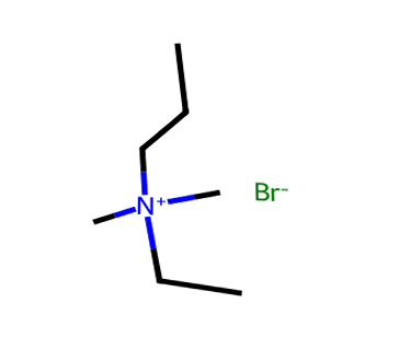 CCC[N+](C)(C)CC.[Br-]